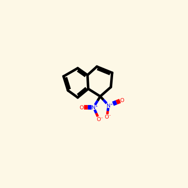 O=[N+]([O-])C1([N+](=O)[O-])CC=Cc2ccccc21